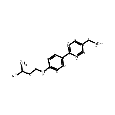 CCCCCCCCCCCc1cnc(-c2ccc(OCCC(C)C#N)cc2)nc1